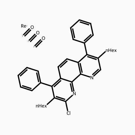 CCCCCCc1cnc2c(ccc3c(-c4ccccc4)c(CCCCCC)c(Cl)nc32)c1-c1ccccc1.[C]=O.[C]=O.[C]=O.[Re]